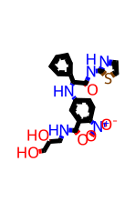 O=C(NCC(O)CO)c1cc(NC(C(=O)Nc2nccs2)c2ccccc2)ccc1[N+](=O)[O-]